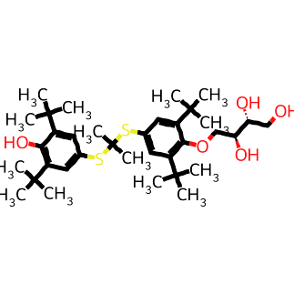 CC(C)(Sc1cc(C(C)(C)C)c(O)c(C(C)(C)C)c1)Sc1cc(C(C)(C)C)c(OC[C@H](O)[C@H](O)CO)c(C(C)(C)C)c1